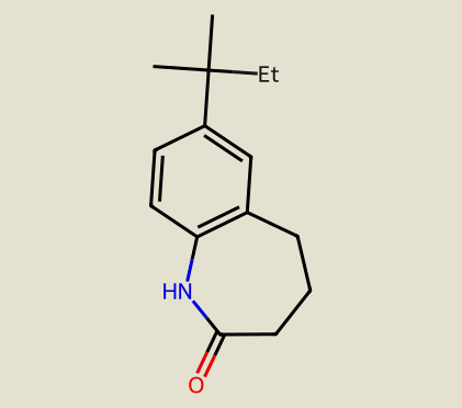 CCC(C)(C)c1ccc2c(c1)CCCC(=O)N2